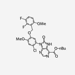 CCCCOC(=O)c1ncnc2c1[nH]c(=O)n2-c1cc(OCc2c(OC)ccc(F)c2F)c(OC)cc1Cl